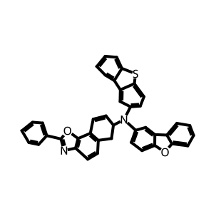 C1=CC(N(c2ccc3oc4ccccc4c3c2)c2ccc3sc4ccccc4c3c2)Cc2ccc3nc(-c4ccccc4)oc3c21